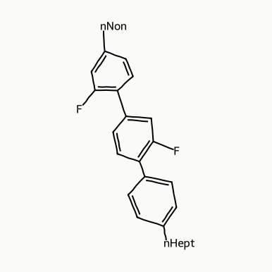 CCCCCCCCCc1ccc(-c2ccc(-c3ccc(CCCCCCC)cc3)c(F)c2)c(F)c1